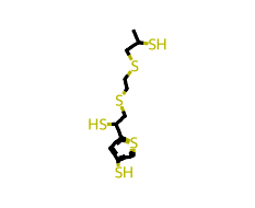 CC(S)CSCCSCC(S)c1cc(S)cs1